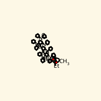 CCC1CC2CC1CC(C)(c1ccccc1N(c1cc3c4c(c1)N(c1ccccc1)c1cc5c(cc1B4c1ccccc1N3c1ccccc1)B1c3ccccc3N(c3ccccc3)c3cc(N(c4ccccc4)c4ccccc4)cc(c31)N5c1ccccc1)c1ccccc1C1(C)CC3CC(C)CC(C3)C1)C2